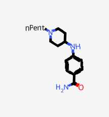 CCCCCN1CCC(Nc2ccc(C(N)=O)cc2)CC1